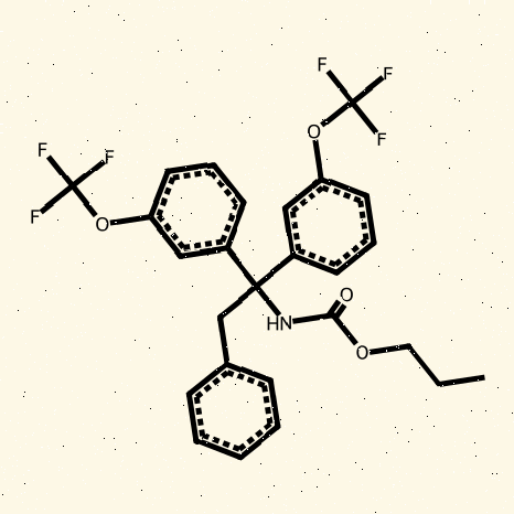 CCCOC(=O)NC(Cc1ccccc1)(c1cccc(OC(F)(F)F)c1)c1cccc(OC(F)(F)F)c1